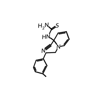 Cc1cccc(CCN2C=CC=CC2(C#N)NC(N)=S)c1